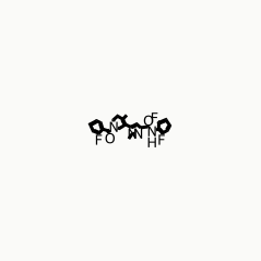 CC1=C(c2cc(C(=O)Nc3c(F)cccc3F)nn2C)CN(C(=O)c2ccccc2F)CC1